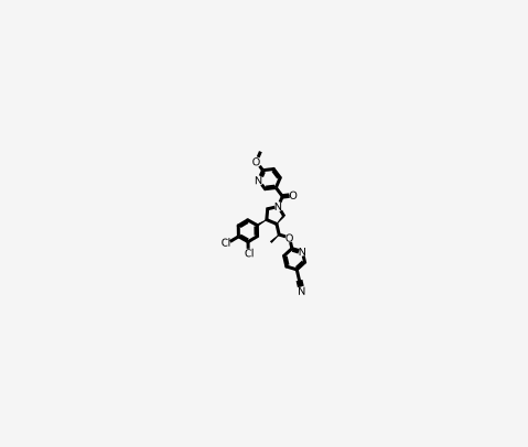 COc1ccc(C(=O)N2C[C@@H]([C@H](C)Oc3ccc(C#N)cn3)[C@@H](c3ccc(Cl)c(Cl)c3)C2)cn1